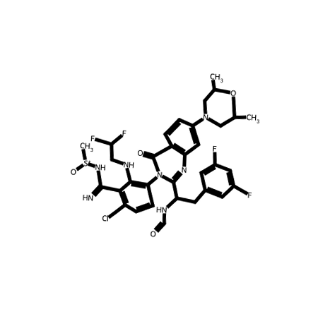 CC1CN(c2ccc3c(=O)n(-c4ccc(Cl)c(C(=N)N[S+](C)[O-])c4NCC(F)F)c(C(Cc4cc(F)cc(F)c4)NC=O)nc3c2)CC(C)O1